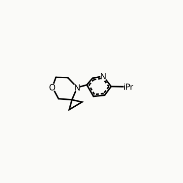 CC(C)c1ccc(N2CCOCC23CC3)cn1